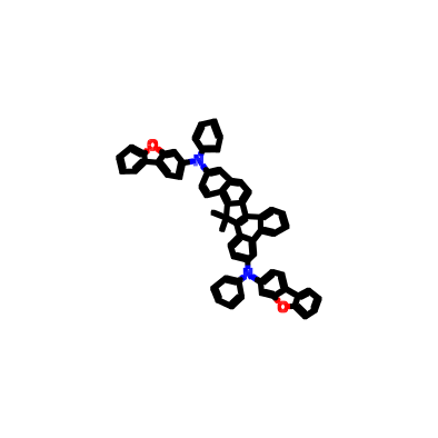 CC1(C)c2c(ccc3cc(N(c4ccccc4)c4ccc5c(c4)oc4ccccc45)ccc23)-c2c1c1ccc(N(c3ccccc3)c3ccc4c(c3)oc3ccccc34)cc1c1ccccc21